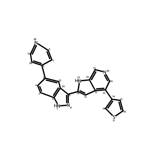 c1cc(-c2ccc3[nH]nc(-c4cc5c(-c6ccsc6)cncc5[nH]4)c3c2)ccn1